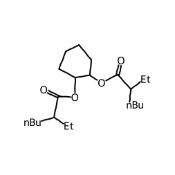 CCCCC(CC)C(=O)OC1CCCCC1OC(=O)C(CC)CCCC